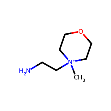 C[N+]1(CCN)CCOCC1